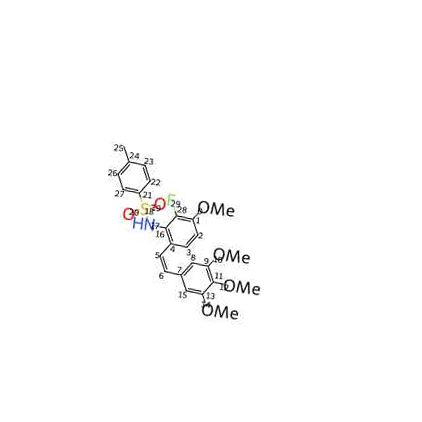 COc1ccc(/C=C\c2cc(OC)c(OC)c(OC)c2)c(NS(=O)(=O)c2ccc(C)cc2)c1F